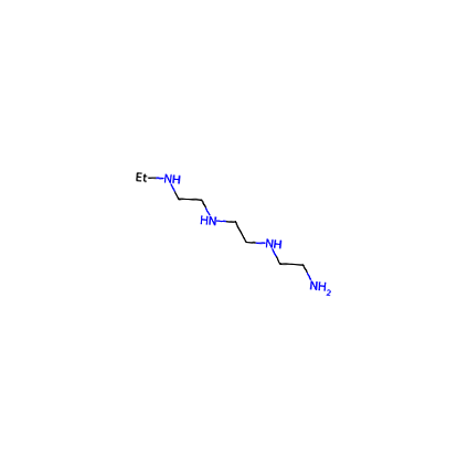 CCNCCNCCNCCN